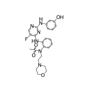 CS(=O)(=O)N(CCN1CCOCC1)c1ccccc1Nc1nc(Nc2cccc(O)c2)ncc1F